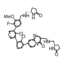 COc1c(CNC[C@@H]2CCC(=O)N2)ccc(-c2cccc(-c3cccc(-c4ccn5c(=O)c(CNC[C@H]6CCC(=O)N6)cnc5c4)c3Cl)c2Cl)c1F